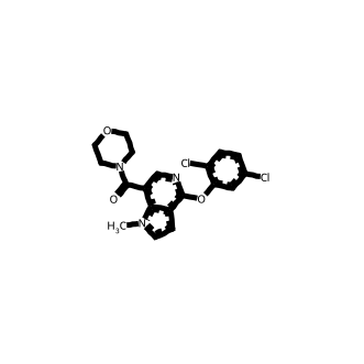 Cn1ccc2c(Oc3cc(Cl)ccc3Cl)ncc(C(=O)N3CCOCC3)c21